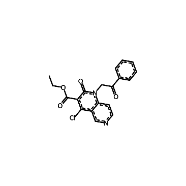 CCOC(=O)c1c(Cl)c2cnccc2n(CC(=O)c2ccccc2)c1=O